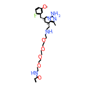 C=CC(=O)NCCOCCOCCOCCOCCNCC[C@H]1C[C@@H](Cc2cc(OC)ccc2F)Cn2c(N)nc(C)c21